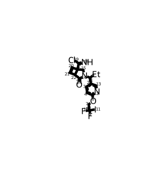 CCC(c1ccc(OCC(F)(F)I)nc1)N1CC2(C(=N)Cl)C=CC2C1=O